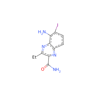 CCc1nc2c(N)c(I)ccc2nc1C(N)=O